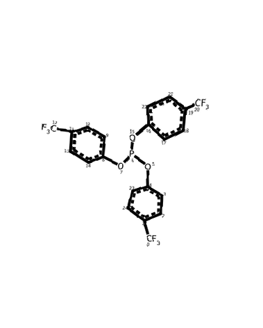 FC(F)(F)c1ccc(OP(Oc2ccc(C(F)(F)F)cc2)Oc2ccc(C(F)(F)F)cc2)cc1